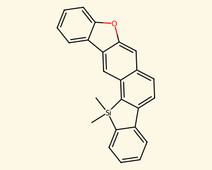 C[Si]1(C)c2ccccc2-c2ccc3cc4oc5ccccc5c4cc3c21